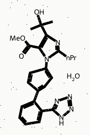 CCCc1nc(C(C)(C)O)c(C(=O)OC)n1-c1ccc(-c2ccccc2-c2nnn[nH]2)cc1.O